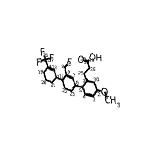 COC1C=CC(C2C=C(CF)C(C3C=C(C(F)(F)F)CCC3)CC2)C(CCC(=O)O)C1